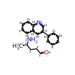 C[C@@H](N)CCC=O.c1ccc(-c2cnc3ccccc3c2)cc1